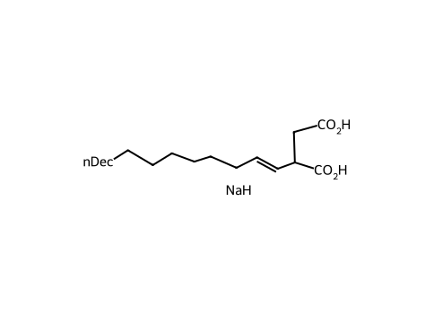 CCCCCCCCCCCCCCCCC=CC(CC(=O)O)C(=O)O.[NaH]